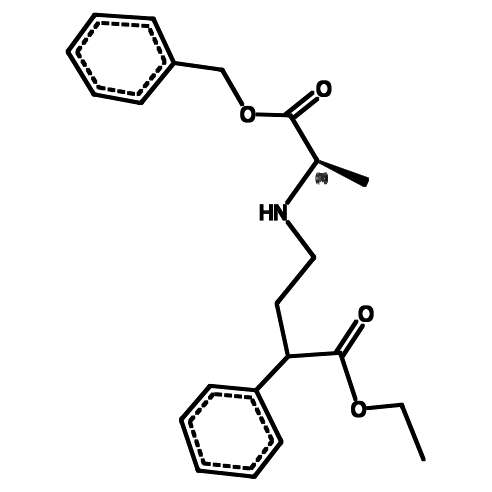 CCOC(=O)C(CCN[C@H](C)C(=O)OCc1ccccc1)c1ccccc1